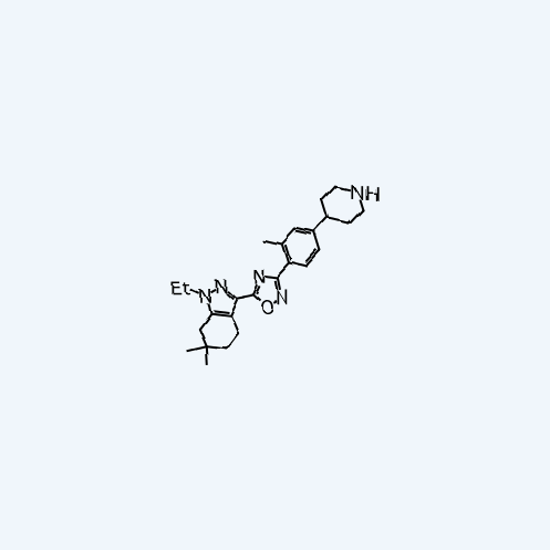 CCn1nc(-c2nc(-c3ccc(C4CCNCC4)cc3C)no2)c2c1CC(C)(C)CC2